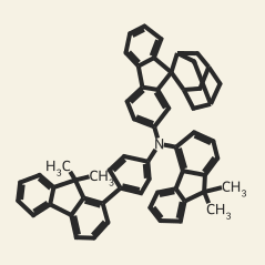 CC1(C)c2ccccc2-c2c(N(c3ccc(-c4cccc5c4C(C)(C)c4ccccc4-5)cc3)c3ccc4c(c3)C3(c5ccccc5-4)C4CC5CC(C4)CC3C5)cccc21